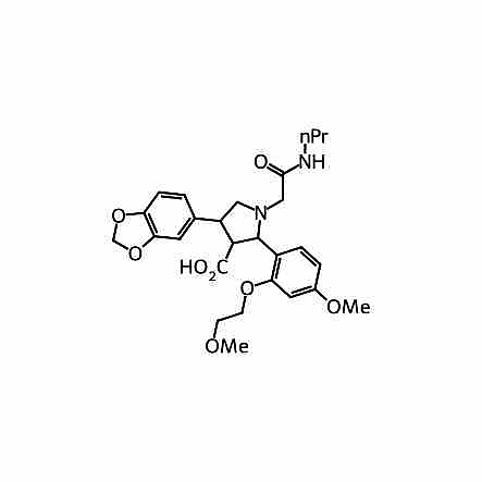 CCCNC(=O)CN1CC(c2ccc3c(c2)OCO3)C(C(=O)O)C1c1ccc(OC)cc1OCCOC